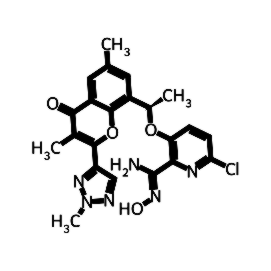 Cc1cc([C@@H](C)Oc2ccc(Cl)nc2C(N)=NO)c2oc(-c3cnn(C)n3)c(C)c(=O)c2c1